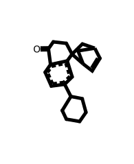 O=C1CCC2(CC3C=CC2C3)c2cc(C3CCCCC3)ccc21